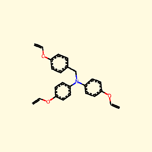 C=COc1ccc(CN(c2ccc(OC=C)cc2)c2ccc(OC=C)cc2)cc1